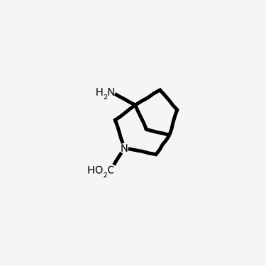 NC12CCC(CN(C(=O)O)C1)C2